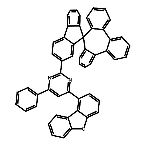 c1ccc(-c2cc(-c3cccc4oc5ccccc5c34)nc(-c3ccc4c(c3)C3(c5ccccc5-c5ccccc5-c5ccccc53)c3ccccc3-4)n2)cc1